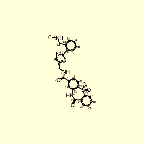 O=C(NCc1cnc(-c2ccccc2CNCl)s1)c1ccc2c(c1)NC(=O)c1ccccc1S2(=O)=O